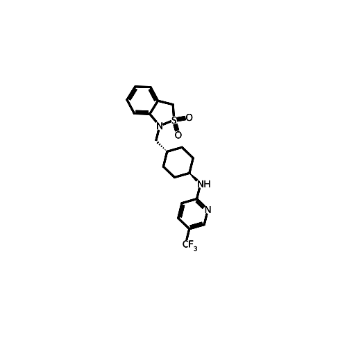 O=S1(=O)Cc2ccccc2N1C[C@H]1CC[C@H](Nc2ccc(C(F)(F)F)cn2)CC1